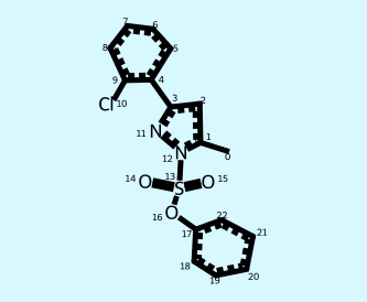 Cc1cc(-c2ccccc2Cl)nn1S(=O)(=O)Oc1ccccc1